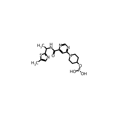 Cc1cnc(C(C)NC(=O)c2cc(N3CCC(OP(O)O)CC3)ncn2)s1